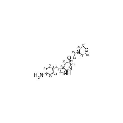 Nc1ccc(Cc2c[nH]c3ncc(OCCN4CCOCC4)cc23)cc1